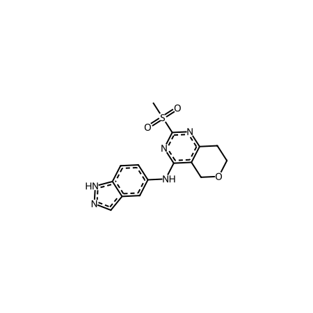 CS(=O)(=O)c1nc2c(c(Nc3ccc4[nH]ncc4c3)n1)COCC2